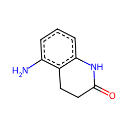 Nc1cccc2c1CCC(=O)N2